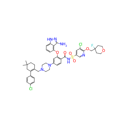 CC1(C)CCC(CN2CCN(c3ccc(C(=O)NS(=O)(=O)c4cnc(OCC5(F)CCOCC5)c(Cl)c4)c(Oc4cccc5[nH]nc(N)c45)c3)CC2)=C(c2ccc(Cl)cc2)C1